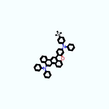 C[Si](C)(C)c1ccc(N(c2ccccc2)c2ccc3c(c2)Oc2cccc4c2c-3cc2c3ccccc3c(N(c3ccccc3)c3ccccc3)cc42)cc1